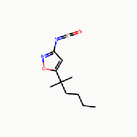 CCCCC(C)(C)c1cc(N=C=O)no1